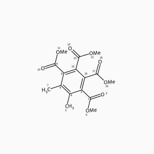 COC(=O)c1c(C)c(C)c(C(=O)OC)c(C(=O)OC)c1C(=O)OC